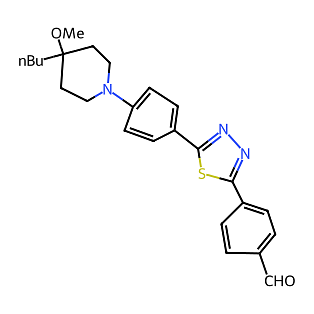 CCCCC1(OC)CCN(c2ccc(-c3nnc(-c4ccc(C=O)cc4)s3)cc2)CC1